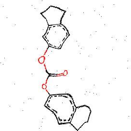 O=C(Oc1ccc2c(c1)CCC2)Oc1ccc2c(c1)CCC2